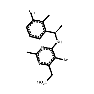 CC(=O)c1c(CC(=O)O)nc(C)nc1N[C@H](C)c1cccc(C(F)(F)F)c1C